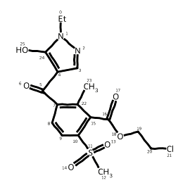 CCn1ncc(C(=O)c2ccc(S(C)(=O)=O)c(C(=O)OCCCl)c2C)c1O